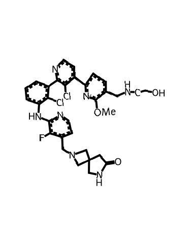 COc1nc(-c2ccnc(-c3cccc(Nc4nccc(CN5CC6(CNC(=O)C6)C5)c4F)c3Cl)c2Cl)ccc1CNCCO